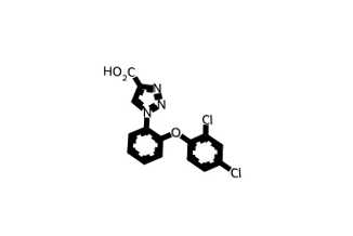 O=C(O)c1cn(-c2ccccc2Oc2ccc(Cl)cc2Cl)nn1